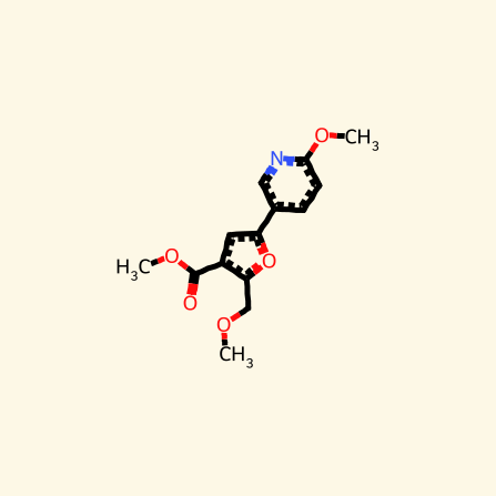 COCc1oc(-c2ccc(OC)nc2)cc1C(=O)OC